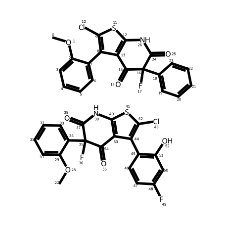 COc1ccccc1-c1c(Cl)sc2c1C(=O)C(F)(c1ccccc1)C(=O)N2.COc1ccccc1C1(F)C(=O)Nc2sc(Cl)c(-c3ccc(F)cc3O)c2C1=O